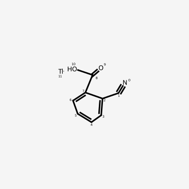 N#Cc1ccccc1C(=O)O.[Tl]